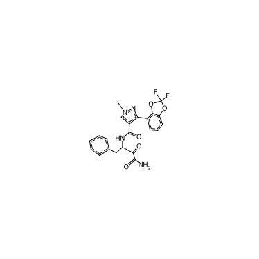 Cn1cc(C(=O)NC(Cc2ccccc2)C(=O)C(N)=O)c(-c2cccc3c2OC(F)(F)O3)n1